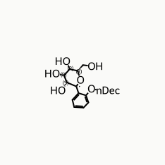 CCCCCCCCCCOc1ccccc1[C]1O[C@H](CO)[C@H](O)[C@H](O)[C@H]1O